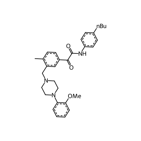 CCCCc1ccc(NC(=O)C(=O)c2ccc(C)c(CN3CCN(c4ccccc4OC)CC3)c2)cc1